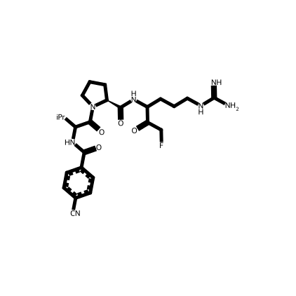 CC(C)C(NC(=O)c1ccc(C#N)cc1)C(=O)N1CCC[C@H]1C(=O)NC(CCCNC(=N)N)C(=O)CF